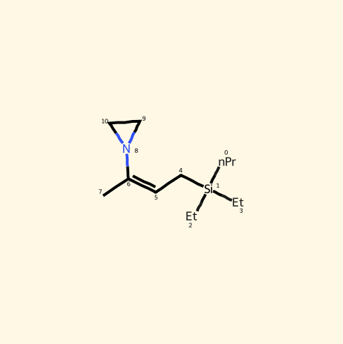 CCC[Si](CC)(CC)C/C=C(/C)N1CC1